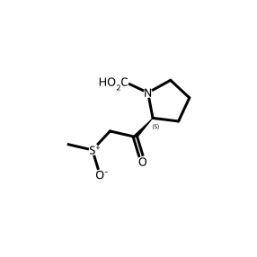 C[S+]([O-])CC(=O)[C@@H]1CCCN1C(=O)O